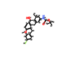 COc1ccc(C(O)c2c(C)cc(NC(=O)OC(C)(C)C)cc2C)cc1Cc1ccc(F)cc1